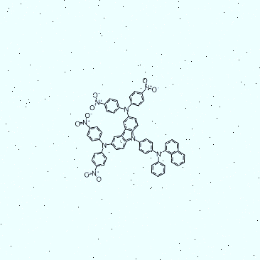 O=[N+]([O-])c1ccc(N(c2ccc([N+](=O)[O-])cc2)c2ccc3c(c2)c2cc(N(c4ccc([N+](=O)[O-])cc4)c4ccc([N+](=O)[O-])cc4)ccc2n3-c2ccc(N(c3ccccc3)c3cccc4ccccc34)cc2)cc1